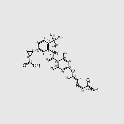 C=C(Nc1cc([C@H]2C[C@H]2C(=O)O)ccc1C(F)(F)F)c1c(C)cc(O/C(C)=C/N=C\C(=N)Cl)cc1C